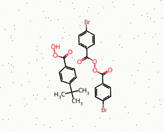 CC(C)(C)c1ccc(C(=O)OO)cc1.O=C(OOC(=O)c1ccc(Br)cc1)c1ccc(Br)cc1